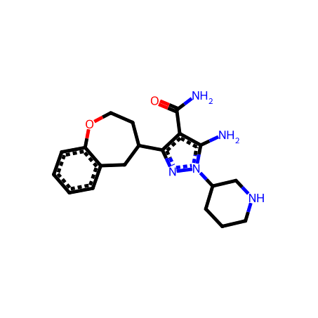 NC(=O)c1c(C2CCOc3ccccc3C2)nn(C2CCCNC2)c1N